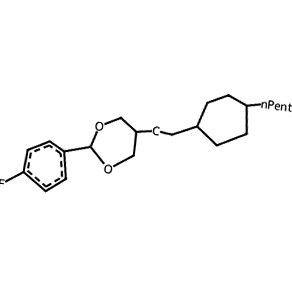 CCCCCC1CCC(CCC2COC(c3ccc(F)cc3)OC2)CC1